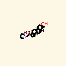 C[C@]12CC[C@@H]3[C@H]4CC[C@]5(O)CC5[C@@H]4CC[C@H]3[C@@H]1CC[C@@H]2C(=O)CN1CCCCC1